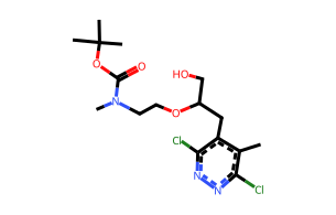 Cc1c(Cl)nnc(Cl)c1CC(CO)OCCN(C)C(=O)OC(C)(C)C